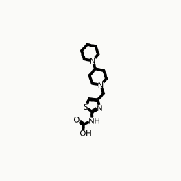 O=C(O)Nc1nc(CN2CCC(N3CCCCC3)CC2)cs1